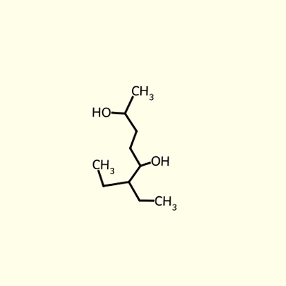 CCC(CC)C(O)CCC(C)O